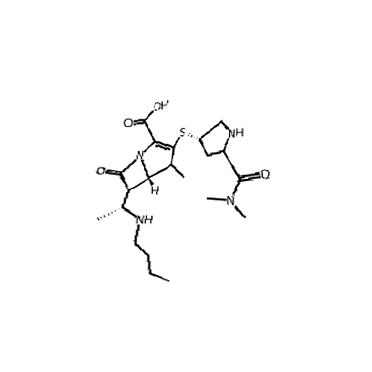 CCCCN[C@H](C)[C@H]1C(=O)N2C(C(=O)O)=C(S[C@@H]3CNC(C(=O)N(C)C)C3)C(C)[C@H]12